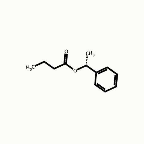 CCCC(=O)O[C@H](C)c1ccccc1